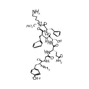 NCCCC[C@H](NC(=O)[C@H](Cc1ccccc1)NC(=O)[C@H](Cc1ccccc1)NC(=O)[C@H](CO)NC(=O)[C@H](CCC(N)=O)NC(=O)CNC(=O)[C@@H](N)Cc1ccc(O)cc1)C(=O)O